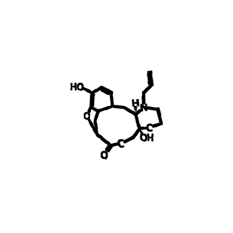 C=CCN1CCC[C@@]2(O)CCC(=O)C3CC4C(=C(O)C=CC4C[C@@H]12)O3